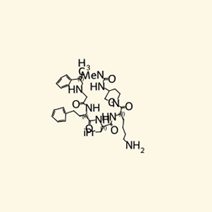 CNC(=O)NC1CCN(C(=O)[C@@H](CCCCN)NC(=O)[C@@H](CC(C)C)NC(=O)[C@@H](CCc2ccccc2)NC(=O)CNC[C@H](C)c2ccccc2)CC1